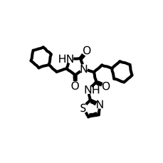 O=C(Nc1nccs1)C(CC1CCCCC1)N1C(=O)NC(CC2CCCCC2)C1=O